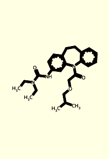 CCN(CC)C(=O)Nc1ccc2c(c1)N(C(=O)COCC(C)C)c1ccccc1CC2